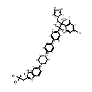 CC(C)(C)Cc1nc2ccc(N3CCN(c4ccc(-c5ccc(C(F)(F)C(O)(Cn6cnnn6)c6ccc(F)cc6F)nc5)cc4)CC3)cc2[nH]1